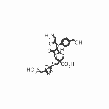 NCC(=O)N(c1ccc(CO)cc1)C1C(=O)N2CC(CSc3nnc(CS(=O)(=O)O)o3)(C(=O)O)CS[C@H]12